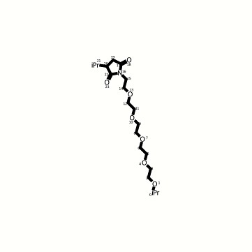 CC(C)OCCOCCOCCOCCOCCN1C(=O)CC(C(C)C)C1=O